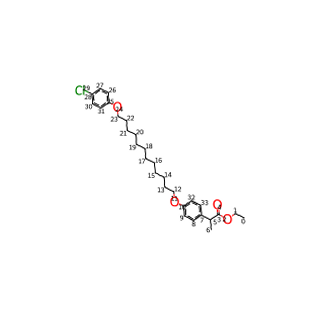 CCOC(=O)C(C)c1ccc(OCCCCCCCCCCCCOc2ccc(Cl)cc2)cc1